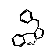 CCCCCCCCCC[n+]1ccn(Cc2ccccc2)c1Cc1ccccc1